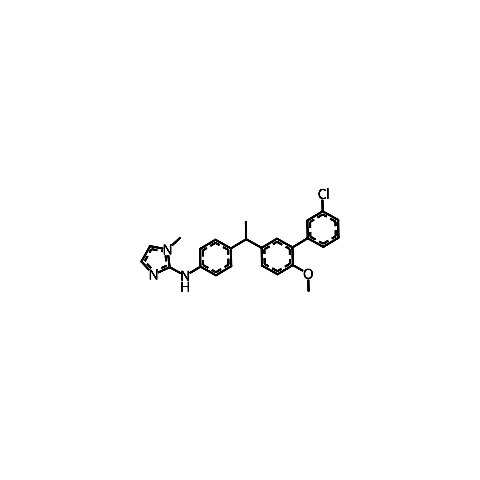 COc1ccc(C(C)c2ccc(Nc3nccn3C)cc2)cc1-c1cccc(Cl)c1